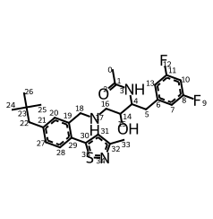 CC(=O)NC(Cc1cc(F)cc(F)c1)C(O)CNCc1cc(CC(C)(C)C)ccc1-c1cc(C)ns1